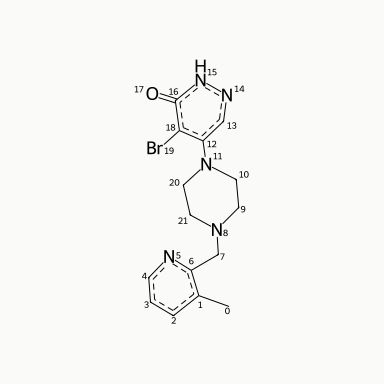 Cc1cccnc1CN1CCN(c2cn[nH]c(=O)c2Br)CC1